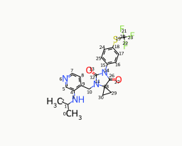 CC(C)Nc1cnccc1CN1C(=O)N(c2ccc(SC(F)(F)F)cc2)C(=O)C12CC2